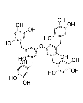 Oc1cc(O)c(Cc2cc(Oc3cc(Cc4cc(O)c(O)cc4O)c(O)c(Cc4cc(O)c(O)cc4O)c3)cc(Cc3cc(O)c(O)cc3O)c2O)cc1O